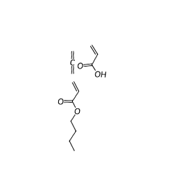 C=C=C.C=CC(=O)O.C=CC(=O)OCCCC